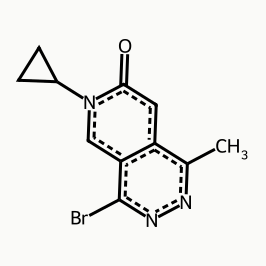 Cc1nnc(Br)c2cn(C3CC3)c(=O)cc12